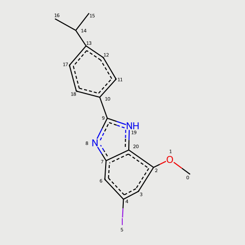 COc1cc(I)cc2nc(-c3ccc(C(C)C)cc3)[nH]c12